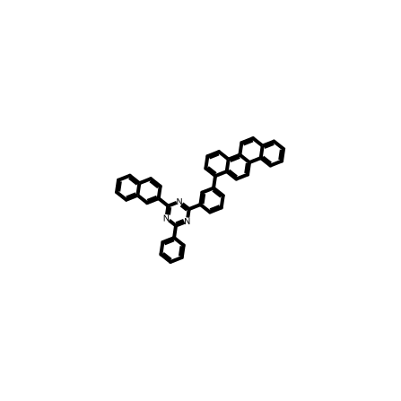 c1ccc(-c2nc(-c3cccc(-c4cccc5c4ccc4c6ccccc6ccc54)c3)nc(-c3ccc4ccccc4c3)n2)cc1